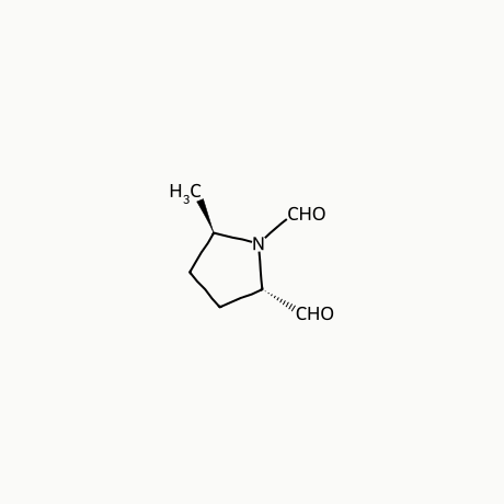 C[C@@H]1CC[C@@H](C=O)N1C=O